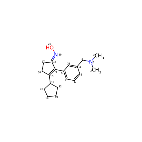 CN(C)Cc1cccc(C2=C(C3CCCC3)CC/C2=N\O)c1